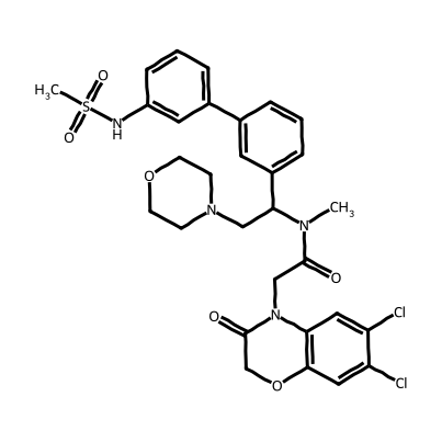 CN(C(=O)CN1C(=O)COc2cc(Cl)c(Cl)cc21)C(CN1CCOCC1)c1cccc(-c2cccc(NS(C)(=O)=O)c2)c1